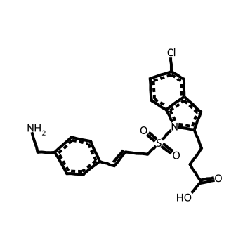 NCc1ccc(C=CCS(=O)(=O)n2c(CCC(=O)O)cc3cc(Cl)ccc32)cc1